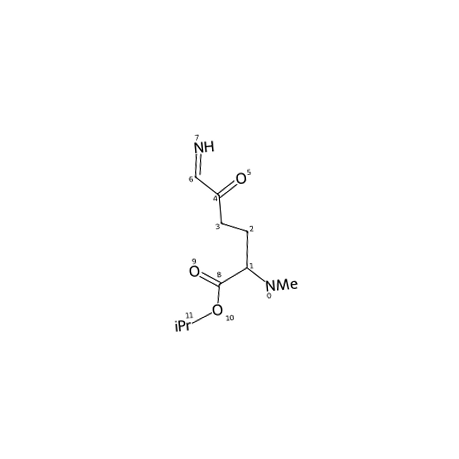 CNC(CCC(=O)C=N)C(=O)OC(C)C